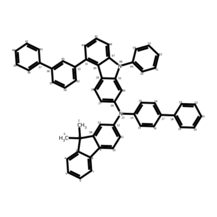 CC1(C)c2ccccc2-c2ccc(N(c3ccc(-c4ccccc4)cc3)c3ccc4c5c(-c6cccc(-c7ccccc7)c6)cccc5n(-c5ccccc5)c4c3)cc21